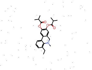 CCc1cccc2c1N(C)Cc1cc(OC(=O)C(C)C)c(OC(=O)C(C)C)cc1-2